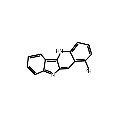 [2H]c1cccc2[nH]c3c4ccccc4nc-3cc12